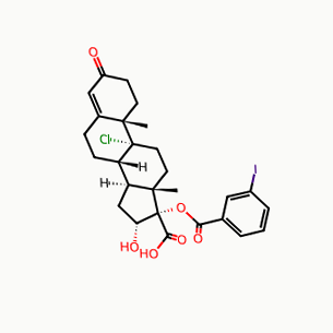 C[C@]12CCC(=O)C=C1CC[C@H]1[C@@H]3C[C@@H](O)[C@](OC(=O)c4cccc(I)c4)(C(=O)O)[C@@]3(C)CC[C@@]12Cl